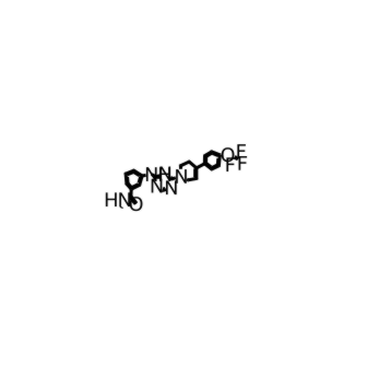 CNC(=O)c1cccc(Nc2ncnc(N3CC=C(c4ccc(OC(F)(F)F)cc4)CC3)n2)c1